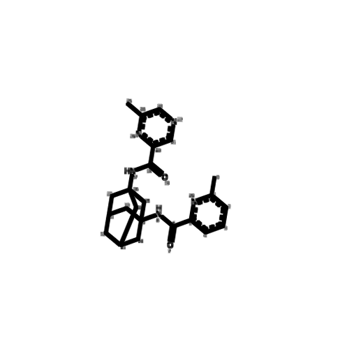 Cc1cccc(C(=O)NC23CC4CC(C2)CC(NC(=O)c2cncc(C)n2)(C4)C3)n1